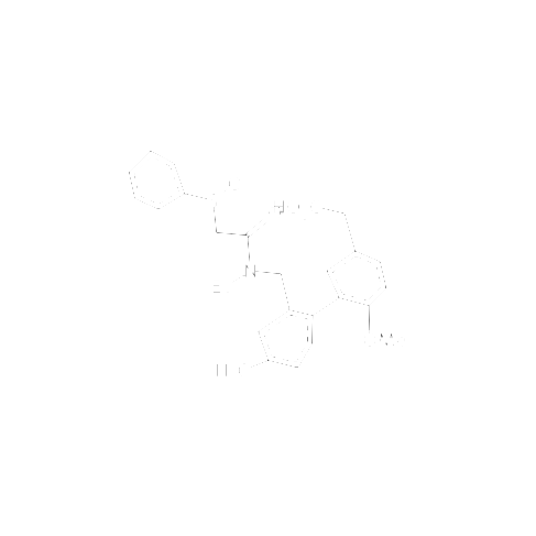 CCN(Cc1cc(C)ccc1-c1cc(CC(=O)O)ccc1OC)C(=O)C[S+]([O-])c1ccccc1